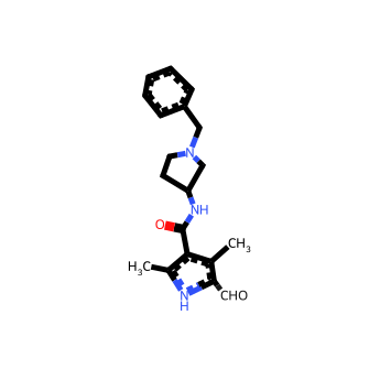 Cc1[nH]c(C=O)c(C)c1C(=O)NC1CCN(Cc2ccccc2)C1